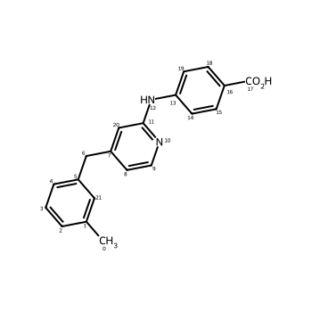 Cc1cccc(Cc2ccnc(Nc3ccc(C(=O)O)cc3)c2)c1